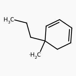 [CH2]C1(CCC)C=CC=CC1